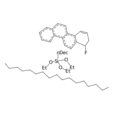 CCCCCCCCCCCCCCCCC.CCCCCCCCCC[Si](OCC)(OCC)OCC.FC1CC=Cc2c1ccc1c2ccc2ccccc21